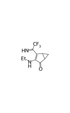 CCNC1=C(C(=N)C(F)(F)F)C2CC2C1=O